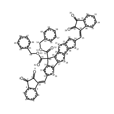 O=C1C(=O)c2ccccc2/C1=C/c1cc2c(s1)-c1sc3c(sc4cc(/C=C5\C(=O)C(=O)c6ccccc65)sc43)c1C2(C(=O)OCc1ccccc1)C(=O)OCc1ccccc1